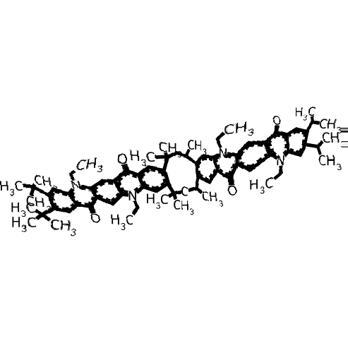 CCn1c2cc(C(C)C)c(C(C)C)cc2c(=O)c2cc3c(cc21)c(=O)c1cc2c(cc1n3CC)C(C)CC(C)(C)c1cc3c(=O)c4cc5c(cc4n(CC)c3cc1C(C)(C)CC2C)c(=O)c1cc(C(C)(C)C)c(C(C)(C)C)cc1n5CC